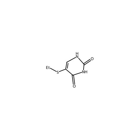 CCSc1c[nH]c(=O)[nH]c1=O